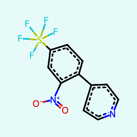 O=[N+]([O-])c1cc(S(F)(F)(F)(F)F)ccc1-c1ccncc1